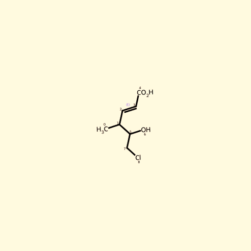 CC(/C=C/C(=O)O)C(O)CCl